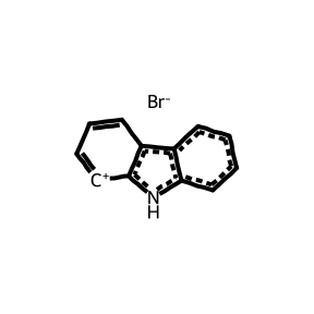 [Br-].[C+]1=CC=Cc2c1[nH]c1ccccc21